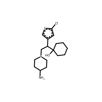 NC1CCN(CC(c2csc(Cl)c2)C2(O)CCCCC2)CC1